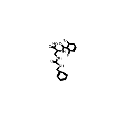 O=C(NCc1ccccc1)NCC(NC(=O)c1c(F)cccc1Br)C(=O)O